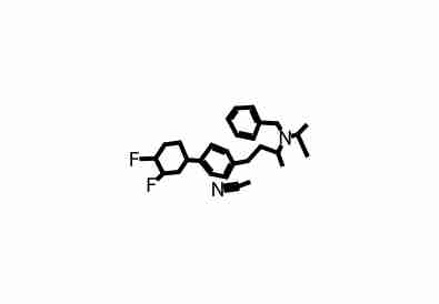 CC#N.CC(C)N(Cc1ccccc1)C(C)CCc1ccc(C2CCC(F)C(F)C2)cc1